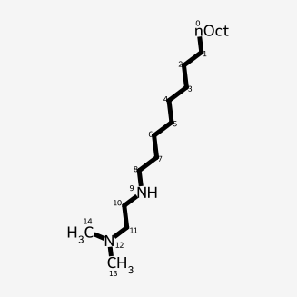 CCCCCCCCCCCCCCCCNCCN(C)C